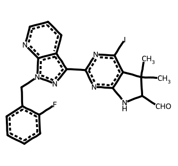 CC1(C)c2c(I)nc(-c3nn(Cc4ccccc4F)c4ncccc34)nc2NC1C=O